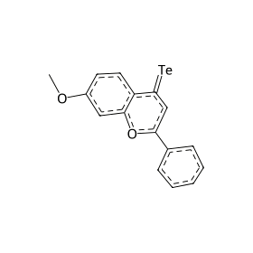 COc1ccc2c(=[Te])cc(-c3ccccc3)oc2c1